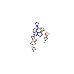 Cc1ccc(-c2ccc(-c3ccc(-n4c5ccccc5c5c4ccc4c6ccccc6n(-c6ccc(-c7ccc(-c8ccc(C)s8)s7)s6)c45)s3)s2)s1